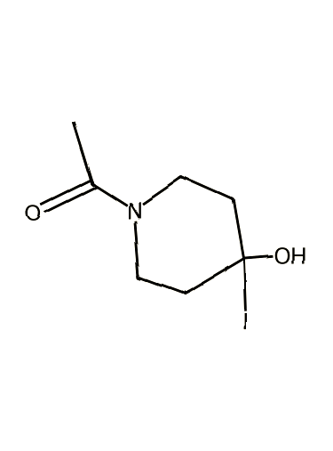 CC(=O)N1CCC(O)(I)CC1